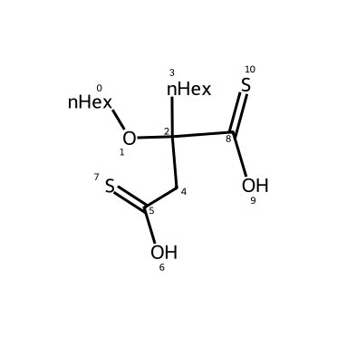 CCCCCCOC(CCCCCC)(CC(O)=S)C(O)=S